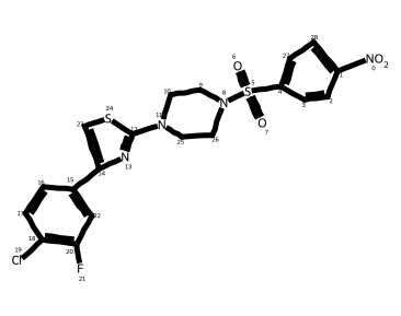 O=[N+]([O-])c1ccc(S(=O)(=O)N2CCN(c3nc(-c4ccc(Cl)c(F)c4)cs3)CC2)cc1